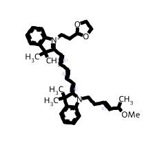 COC(C)/C=C/CCN1/C(=C/C=C/C=C/C2=[N+](CCC3OCCO3)c3ccccc3C2(C)C)C(C)(C)c2ccccc21